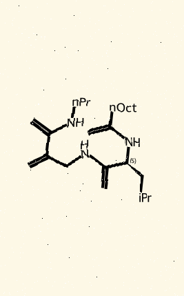 C=C(CCCCCCCC)N[C@@H](CC(C)C)C(=C)NCC(=C)C(=C)NCCC